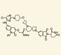 CNC(=O)COc1cc2cc(Nc3nc(N4CCC(O[C@H]5C[C@H](N6CCCC7(CCN(c8ccc9c(c8)C(=O)N(C8CCC(=O)NC8=O)C9=O)C7)C6)C5)CC4)ncc3Cl)ccc2n(C(C)C)c1=O